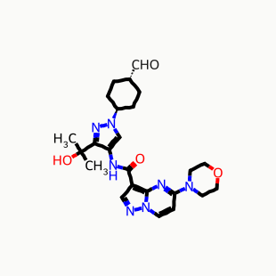 CC(C)(O)c1nn([C@H]2CC[C@H](C=O)CC2)cc1NC(=O)c1cnn2ccc(N3CCOCC3)nc12